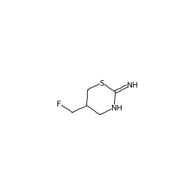 N=C1NCC(CF)CS1